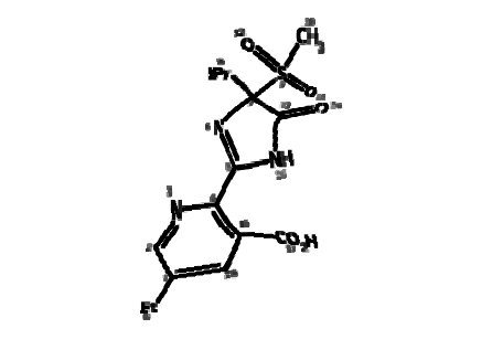 CCc1cnc(C2=NC(C(C)C)(S(C)(=O)=O)C(=O)N2)c(C(=O)O)c1